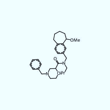 COC1CCCCc2ccc(CN(CC(C)C)C(=O)C3CN(Cc4ccccc4)CCO3)cc21